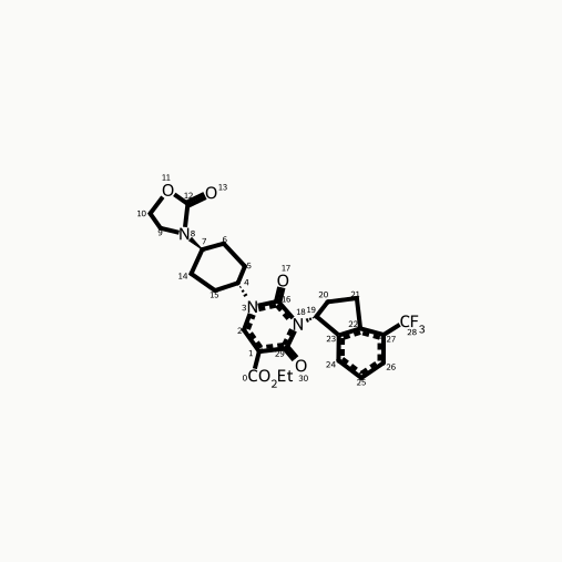 CCOC(=O)c1cn([C@H]2CC[C@H](N3CCOC3=O)CC2)c(=O)n([C@@H]2CCc3c2cccc3C(F)(F)F)c1=O